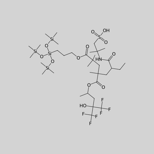 CCC(CC(C)(CC(C)(C)C(=O)OCCC[Si](O[Si](C)(C)C)(O[Si](C)(C)C)O[Si](C)(C)C)C(=O)OC(C)CC(O)(C(F)(F)F)C(F)(F)F)C(=O)NC(C)(C)CS(=O)(=O)O